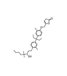 CCCCC(C)(C)C(O)CCc1ccc(C(CC)(CC)c2ccc(OCC3=CCC(=O)O3)c(C)c2)cc1C